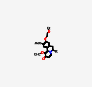 CCOCCOc1cc2c(cc1OC)-c1c(OC=O)c(=O)ccn1C(CC)C2